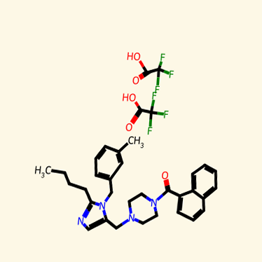 CCCCc1ncc(CN2CCN(C(=O)c3cccc4ccccc34)CC2)n1Cc1cccc(C)c1.O=C(O)C(F)(F)F.O=C(O)C(F)(F)F